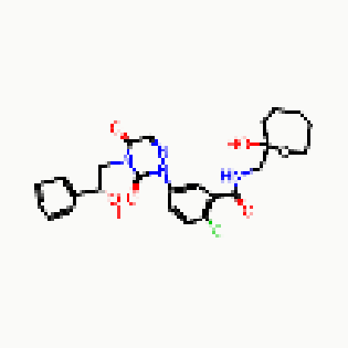 O=C(NCC1(O)CCCCCC1)c1cc(-n2ncc(=O)n(C[C@H](O)c3ccccc3)c2=O)ccc1Cl